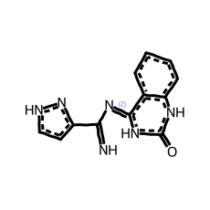 N=C(/N=c1\[nH]c(=O)[nH]c2ccccc12)c1cc[nH]n1